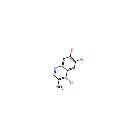 O=[N+]([O-])c1cnc2cc(Br)c(Cl)cc2c1Cl